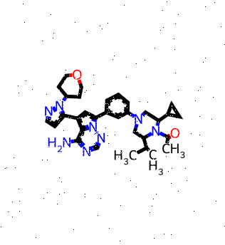 CC(=O)N1C(C(C)C)CN(c2cccc(-c3cc(-c4ccnn4C4CCOCC4)c4c(N)ncnn34)c2)CC1C1CC1